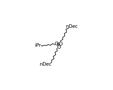 CCCCCCCCCCCCCCCCCCOP(OCCCCCCCCCCCCCCCCCC)OCCCCCCCC(C)C